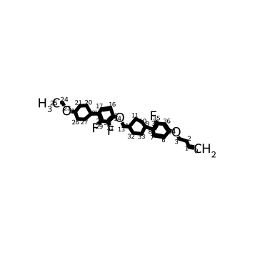 C=CCCOc1ccc(C2CCC(COc3ccc(C4CCC(OCC)CC4)c(F)c3F)CC2)c(F)c1